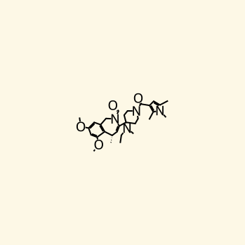 CCN(C)C1(C2=C[C@H](C)c3c(cc(OC)cc3OC)CN2C=O)CCN(C(=O)c2cc(C)n(C)c2C)CC1